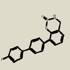 O=S1NCc2cccc(-c3ccc(-c4ccc(F)cc4)cc3)c2O1